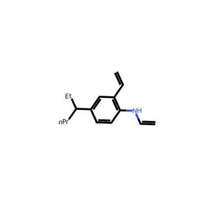 C=CNc1ccc(C(CC)CCC)cc1C=C